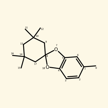 Cc1ccc2c(c1)OC1(CC(C)(C)CC(C)(C)C1)O2